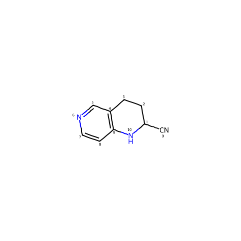 N#CC1CCc2cnccc2N1